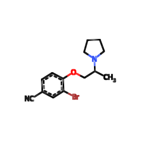 CC(COc1ccc(C#N)cc1Br)N1CCCC1